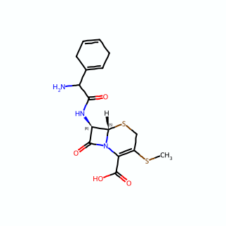 CSC1=C(C(=O)O)N2C(=O)[C@@H](NC(=O)C(N)C3=CCC=CC3)[C@@H]2SC1